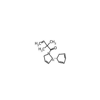 C=CC(C)(C)C(=O)N1CC=C[C@H]1C1C=CC=CC1